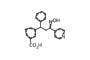 O=C(O)c1cccc(C(CC(=NO)c2ccncc2)c2ccccc2)c1